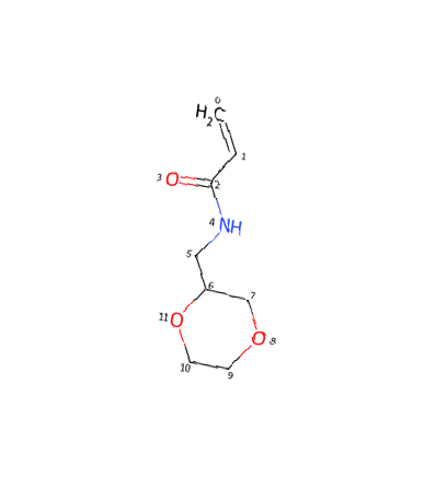 C=CC(=O)NCC1COCCO1